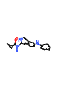 O=C(NC1C=c2ccc(Nc3ccccc3)cc2=CN1)C1CC1